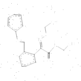 CCNC(=O)C(=NOCC)c1ccccc1COc1ccccc1